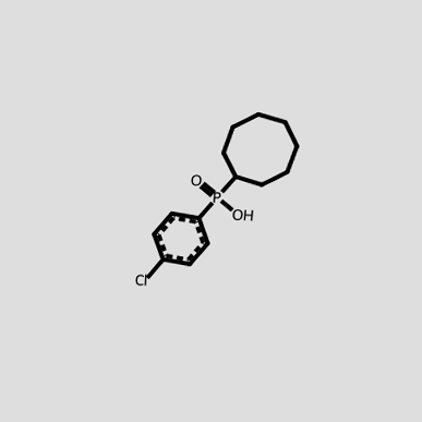 O=P(O)(c1ccc(Cl)cc1)C1CCCCCCC1